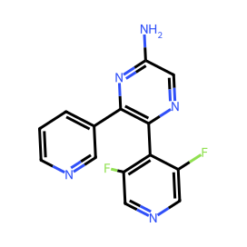 Nc1cnc(-c2c(F)cncc2F)c(-c2cccnc2)n1